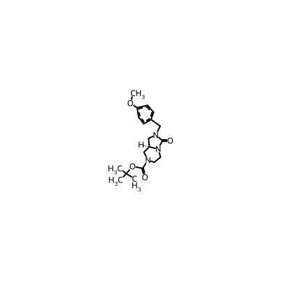 COc1ccc(CN2C[C@@H]3CN(C(=O)OC(C)(C)C)CCN3C2=O)cc1